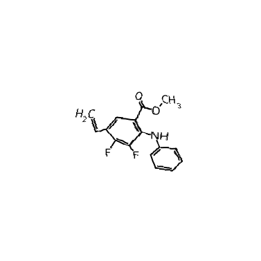 C=Cc1cc(C(=O)OC)c(Nc2ccccc2)c(F)c1F